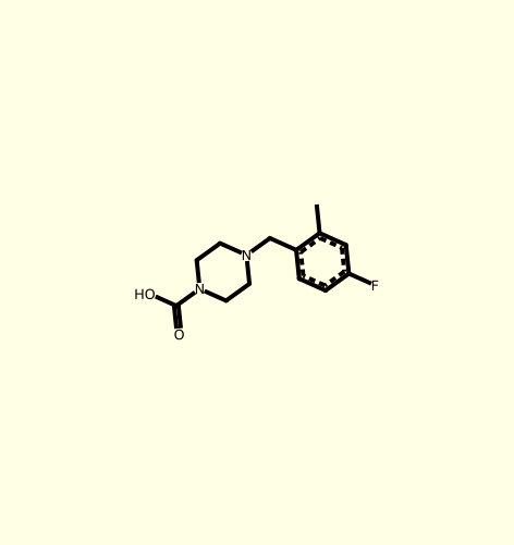 Cc1cc(F)ccc1CN1CCN(C(=O)O)CC1